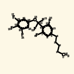 CCCCCc1cc(F)c(C(F)(F)Oc2cc(F)c(F)c(F)c2)c(F)c1